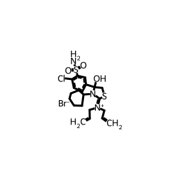 C=CC[N+](CC=C)=C1SCC(O)(c2ccc(Cl)c(S(N)(=O)=O)c2)N1C1CCCCC1.[Br-]